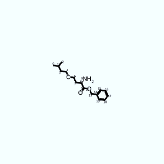 CC(C)CCOCC[C@H](N)C(=O)OCc1ccccc1